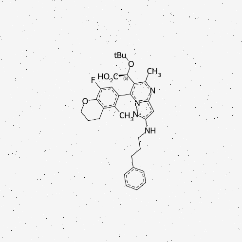 Cc1nc2cc(NCCCc3ccccc3)nn2c(-c2cc(F)c3c(c2C)CCCO3)c1[C@H](OC(C)(C)C)C(=O)O